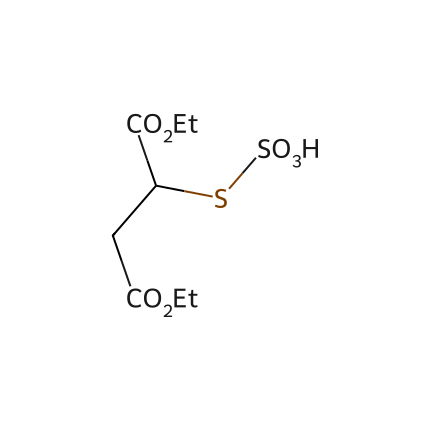 CCOC(=O)CC(SS(=O)(=O)O)C(=O)OCC